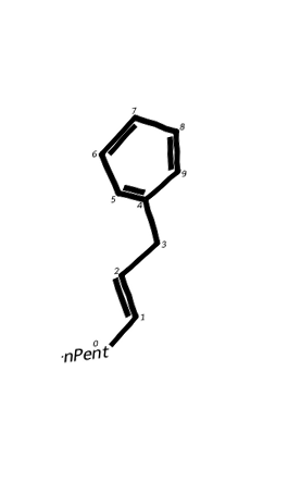 CCCC[CH]C=CCc1ccccc1